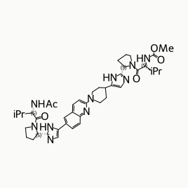 COC(=O)N[C@H](C(=O)N1CCC[C@H]1c1ncc(C2CCN(c3ccc4cc(-c5cnc([C@@H]6CCCN6C(=O)[C@@H](NC(C)=O)C(C)C)[nH]5)ccc4n3)CC2)[nH]1)C(C)C